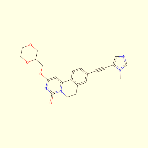 Cn1cncc1C#Cc1ccc2c(c1)CCn1c-2cc(OCC2COCCO2)nc1=O